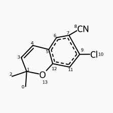 CC1(C)C=Cc2cc(C#N)c(Cl)cc2O1